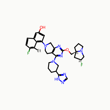 CCc1c(F)ccc2cc(O)cc(N3CCc4c(nc(OC[C@@]56CCCN5C[C@H](F)C6)nc4N4CCCC(c5ncn[nH]5)C4)C3)c12